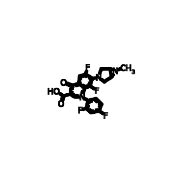 CN1C2CN(c3c(F)cc4c(=O)c(C(=O)O)cn(-c5ccc(F)cc5F)c4c3F)CC21